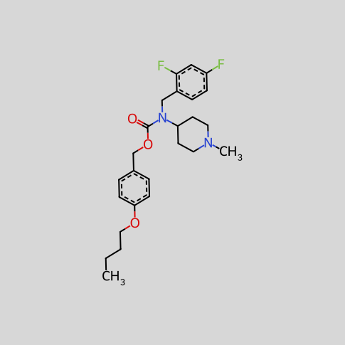 CCCCOc1ccc(COC(=O)N(Cc2ccc(F)cc2F)C2CCN(C)CC2)cc1